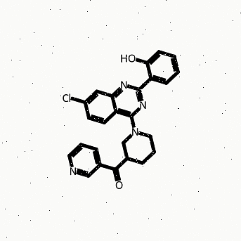 O=C(c1cccnc1)C1CCCN(c2nc(-c3ccccc3O)nc3cc(Cl)ccc23)C1